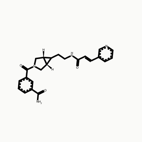 NC(=O)c1cccc(C(=O)N2C[C@@H]3C(CCNC(=O)/C=C/c4cccnc4)[C@@H]3C2)c1